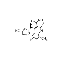 Cc1cc(I)cc2c(Nc3cccc(C#N)c3)c(C(N)=O)c(Cl)nc12